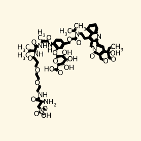 CC[C@@]1(O)C(=O)OCc2c1cc1n(c2=O)Cc2c-1nc1ccccc1c2CCN(C(=O)OCc1ccc(NC(=O)[C@H](C)NC(=O)[C@@H](NC(=O)CCOCCOCCNC(=O)[C@@H](N)CS(=O)(=O)O)C(C)C)c(O[C@@H]2O[C@H](C(=O)O)[C@@H](O)[C@H](O)[C@H]2O)c1)C(C)C